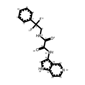 O=C(NCC(F)(F)c1ccccc1)C(=O)Nc1c[nH]c2ccncc12